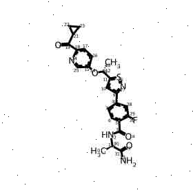 C[C@@H](NC(=O)c1ccc(-c2cc([C@@H](C)Oc3ccc(C(=O)C4CC4)nc3)sn2)cc1F)C(N)=O